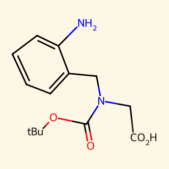 CC(C)(C)OC(=O)N(CC(=O)O)Cc1ccccc1N